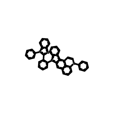 C1=CN(c2ccccc2)c2cccc3cc4c(c1c23)c1ccccc1n4-c1ccccc1-c1nc2ccccc2n1-c1ccccc1